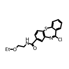 CCOCCNC(=O)c1ccc2c(c1)N=C(Cl)c1ccccc1S2